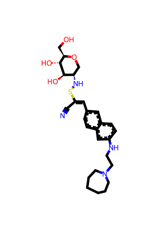 N#C/C(=C\c1ccc2cc(NCCN3CCCCCC3)ccc2c1)SN[C@H]1CO[C@H](CO)[C@@H](O)[C@@H]1O